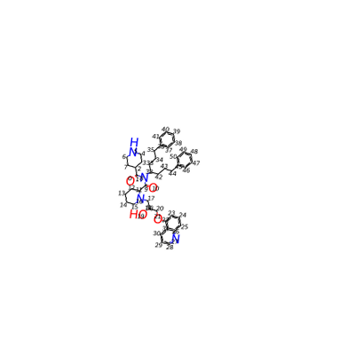 O=C(C1CCNCC1)N(C(=O)C1CCCCN1C[C@@H](O)COc1cccc2ncccc12)C(CCCc1ccccc1)CCCc1ccccc1